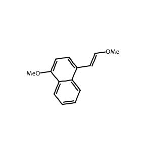 COC=Cc1ccc(OC)c2ccccc12